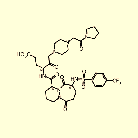 O=C(O)CC[C@H](NC(=O)[C@@H]1CCCN2C(=O)CC[C@H](NS(=O)(=O)c3ccc(C(F)(F)F)cc3)C(=O)N12)C(=O)CN1CCN(CC(=O)N2CCCC2)CC1